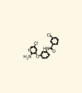 Nc1ncc(Cl)cc1Oc1cccc(NC(=O)c2cccc(Cl)c2)c1